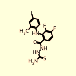 Cc1cc(I)ccc1Nc1c(C(=O)NNC(N)=S)ccc(F)c1F